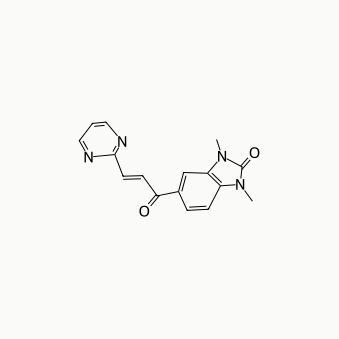 Cn1c(=O)n(C)c2cc(C(=O)C=Cc3ncccn3)ccc21